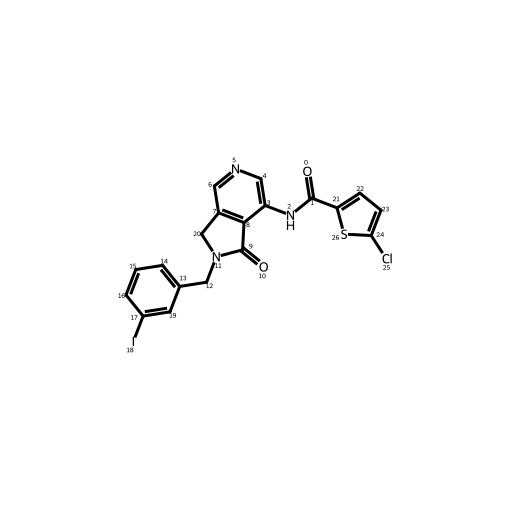 O=C(Nc1cncc2c1C(=O)N(Cc1cccc(I)c1)C2)c1ccc(Cl)s1